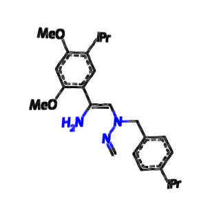 C=NN(/C=C(\N)c1cc(C(C)C)c(OC)cc1OC)Cc1ccc(C(C)C)cc1